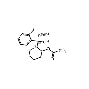 CCCCC[C@@](O)(c1ccccc1I)[C@H]1CCCCC1OC(N)=O